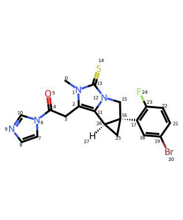 Cn1c(CC(=O)n2ccnc2)c2n(c1=S)C[C@@]1(c3cc(Br)ccc3F)C[C@@H]21